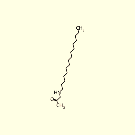 CCCCCCCCCCCCCCCCNCC(C)=O